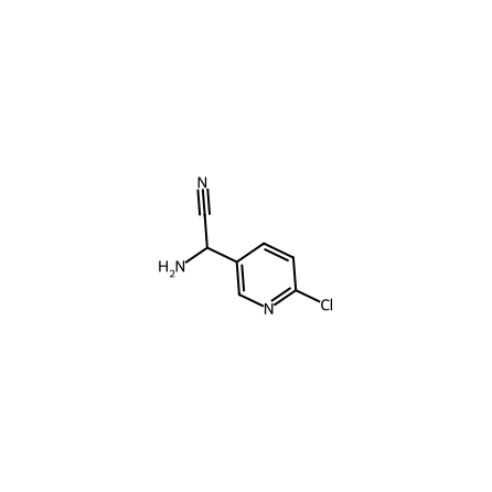 N#CC(N)c1ccc(Cl)nc1